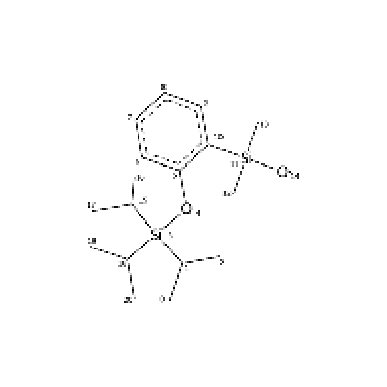 CC(C)[Si](Oc1ccccc1[Si](C)(C)[O])(C(C)C)C(C)C